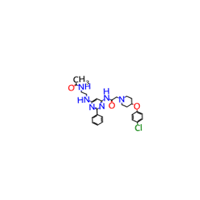 CC(=O)NCCNc1cc(NC(=O)CN2CCC(Oc3ccc(Cl)cc3)CC2)nc(-c2ccccc2)n1